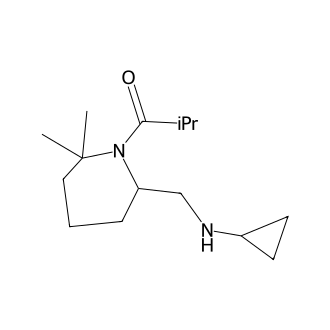 CC(C)C(=O)N1C(CNC2CC2)CCCC1(C)C